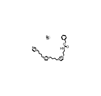 O=C(NCCCn1cc[n+](CCCC[n+]2ccn(CCCCn3ccnc3)c2)c1)OCc1ccccc1.[Br-].[Br-]